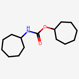 O=C(NC1CCCCCC1)OC1CCCCCC1